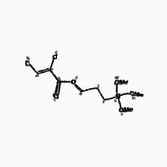 CO[Si](CCCOC(=O)C(Cl)=CCl)(OC)OC